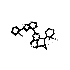 CN(c1nc(-c2ccnc3[nH]c(-c4ccccc4F)cc23)nc2cncc(C3CC3)c12)C1CCNCC1(C)C